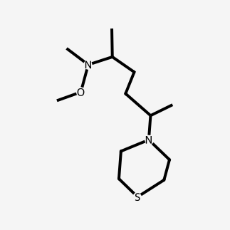 CON(C)C(C)CCC(C)N1CCSCC1